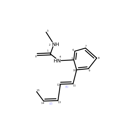 C=C(NC)Nc1ccccc1/C=C/C=C\C